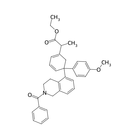 CCOC(=O)C(C)C1=CC=CC(c2ccc(OC)cc2)(c2cccc3c2CCN(C(=O)c2ccccc2)C3)C1